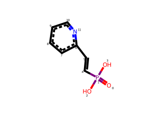 O=P(O)(O)/C=C/c1ccccn1